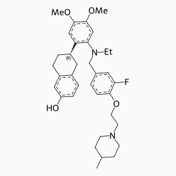 CCN(Cc1ccc(OCCN2CCC(C)CC2)c(F)c1)c1cc(OC)c(OC)cc1[C@@H]1CCc2cc(O)ccc2C1